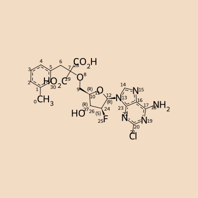 Cc1cccc(CC(OC[C@H]2O[C@@H](n3cnc4c(N)nc(Cl)nc43)[C@@H](F)[C@@H]2O)(C(=O)O)C(=O)O)c1